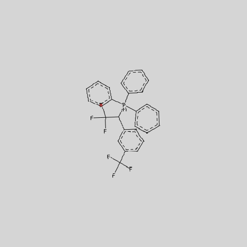 FC(F)(F)c1cccc(C(C(F)(F)F)[PH](c2ccccc2)(c2ccccc2)c2ccccc2)c1